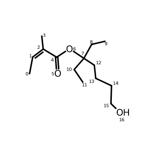 CC=C(C)C(=O)OC(CC)(CC)CCCCO